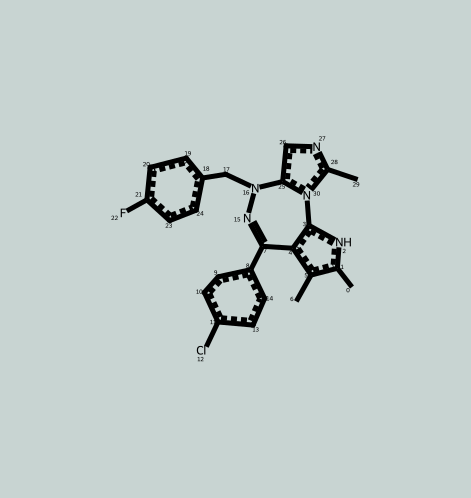 Cc1[nH]c2c(c1C)C(c1ccc(Cl)cc1)=NN(Cc1ccc(F)cc1)c1cnc(C)n1-2